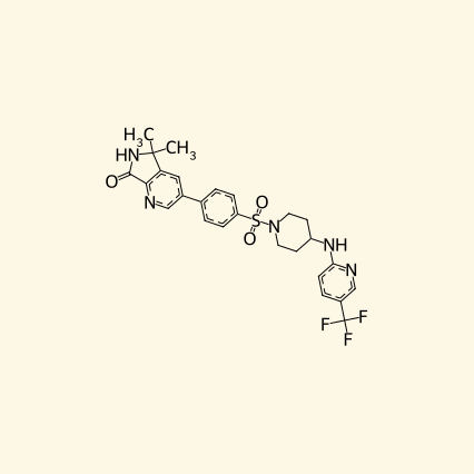 CC1(C)NC(=O)c2ncc(-c3ccc(S(=O)(=O)N4CCC(Nc5ccc(C(F)(F)F)cn5)CC4)cc3)cc21